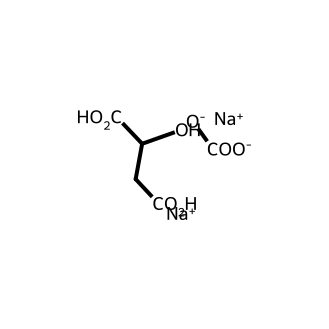 O=C(O)CC(O)C(=O)O.O=C([O-])[O-].[Na+].[Na+]